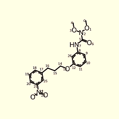 CON(OC)C(=O)Nc1cccc(OCCCc2cccc([N+](=O)[O-])c2)c1